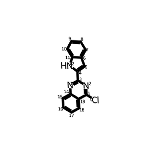 Clc1nc(-c2cc3ccccc3[nH]2)nc2ccccc12